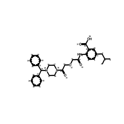 CC(C)Cc1ccc(NC(=O)COCC(=O)N2CCN(C(c3ccccc3)c3ccccc3)CC2)c(C(=O)O)c1